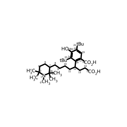 CN1C(C)(C)CCC(CCCCC(CCC(=O)O)c2c(C(=O)O)cc(C(C)(C)C)c(O)c2C(C)(C)C)C1(C)C